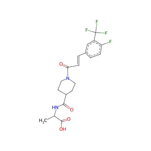 CC(NC(=O)C1CCN(C(=O)/C=C/c2ccc(F)c(C(F)(F)F)c2)CC1)C(=O)O